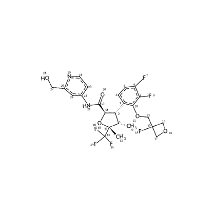 C[C@H]1[C@@H](c2ccc(F)c(F)c2OCC2(F)COC2)[C@H](C(=O)Nc2ccnc(CO)c2)O[C@@]1(C)C(F)(F)F